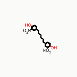 O=[N+]([O-])c1cc(CCCCCCc2ccc(O)c([N+](=O)[O-])c2)ccc1O